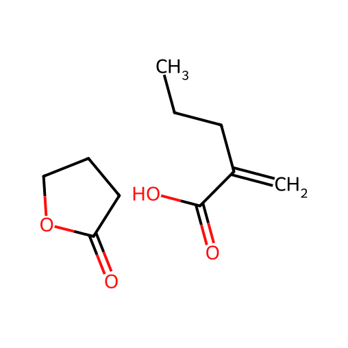 C=C(CCC)C(=O)O.O=C1CCCO1